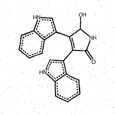 O=C1NC(O)C(c2c[nH]c3ccccc23)=C1c1c[nH]c2ccccc12